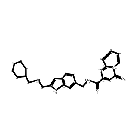 O=C(NCc1ccc2cc(CNCC3CCCCC3)[nH]c2c1)c1cc(=O)n2ccccc2n1